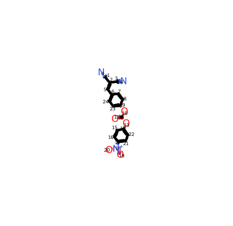 N#CC(C#N)=Cc1ccc(OC(=O)Oc2ccc([N+](=O)[O-])cc2)cc1